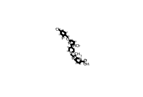 Cl.Cn1c(CN2CCC(c3cccc(OCc4ccc(Cl)cc4F)n3)CC2)nc2ccc(C(=O)O)nc21